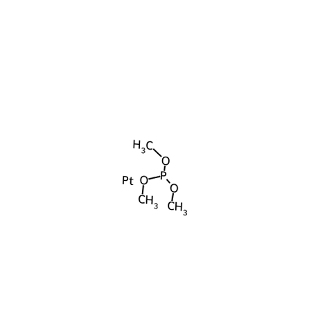 COP(OC)OC.[Pt]